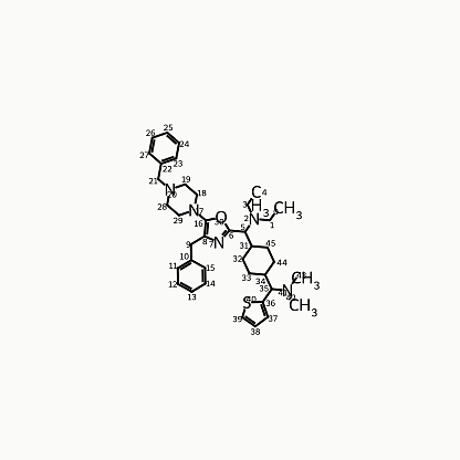 CCN(CC)C(c1nc(Cc2ccccc2)c(N2CCN(Cc3ccccc3)CC2)o1)C1CCC(C(c2cccs2)N(C)C)CC1